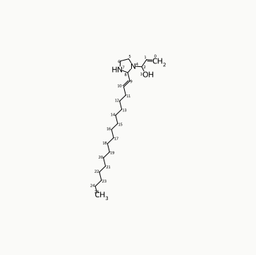 C=CC(O)N1CCNC1C=CCCCCCCCCCCCCCCC